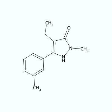 CCc1c(-c2cccc(C)c2)[nH]n(C)c1=O